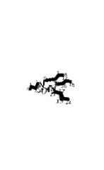 CCCC[N](CCCC)[Sn][N](CCCC)CCCC